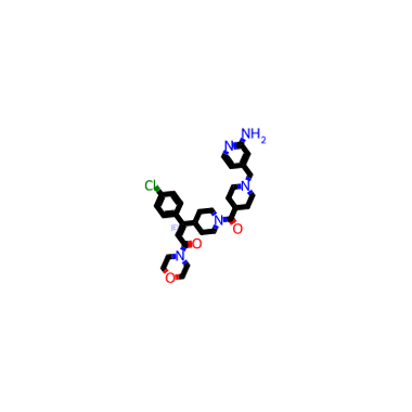 Nc1cc(CN2CCC(C(=O)N3CCC(/C(=C\C(=O)N4CCOCC4)c4ccc(Cl)cc4)CC3)CC2)ccn1